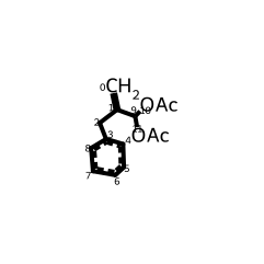 C=C(Cc1ccccc1)C(OC(C)=O)OC(C)=O